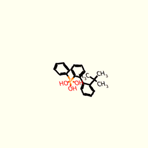 CC(C)(C)c1ccccc1-c1ccccc1P(O)(O)(O)c1ccccc1